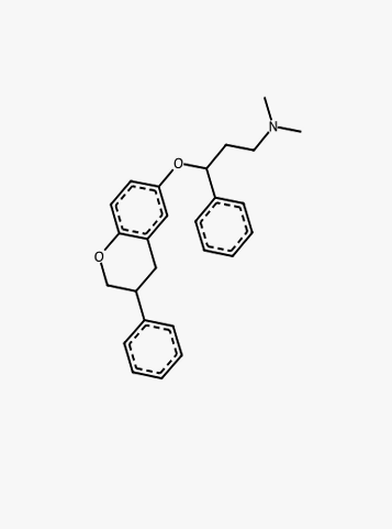 CN(C)CCC(Oc1ccc2c(c1)CC(c1ccccc1)CO2)c1ccccc1